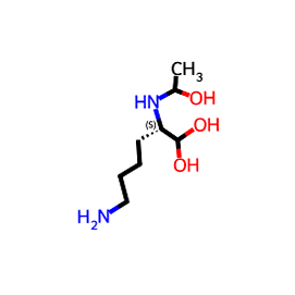 CC(O)N[C@@H](CCCCN)C(O)O